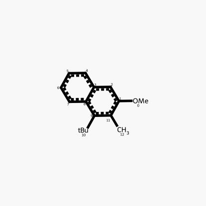 COc1cc2ccccc2c(C(C)(C)C)c1C